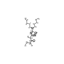 CCCCCN(CCCCC)c1nc(C(C)C(=O)C(C)CC)no1